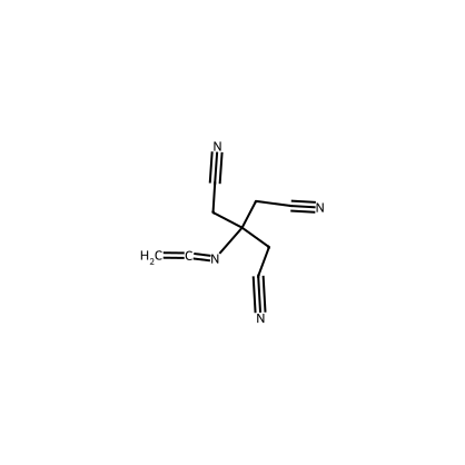 C=C=NC(CC#N)(CC#N)CC#N